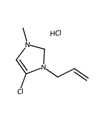 C=CCN1CN(C)C=C1Cl.Cl